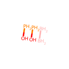 BB.OP.OP